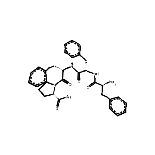 N[C@@H](Cc1ccccc1)C(=O)N[C@@H](Cc1ccccc1)C(=O)N[C@@H](Cc1ccccc1)C(=O)N1CCC[C@H]1C(=O)O